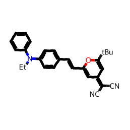 CCN(c1ccccc1)c1ccc(/C=C/C2=CC(=C(C#N)C#N)C=C(C(C)(C)C)O2)cc1